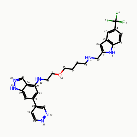 FC(F)(F)c1ccc2[nH]c(CNCCCCOCCNc3cc(-c4ccnnc4)cc4[nH]ncc34)cc2c1